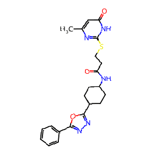 Cc1cc(=O)[nH]c(SCCC(=O)NC2CCC(c3nnc(-c4ccccc4)o3)CC2)n1